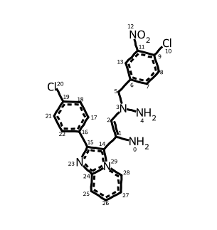 N/C(=C\N(N)Cc1ccc(Cl)c([N+](=O)[O-])c1)c1c(-c2ccc(Cl)cc2)nc2ccccn12